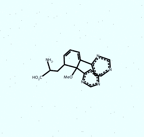 COC1(c2ccncn2)C(c2ccncn2)=CC=CC1CC(N)C(=O)O